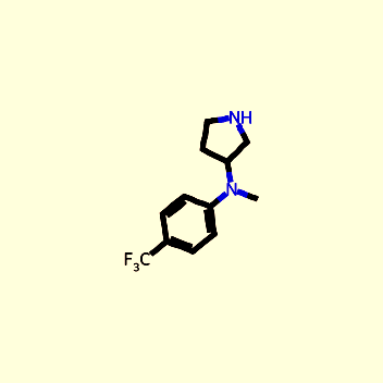 CN(c1ccc(C(F)(F)F)cc1)C1CCNC1